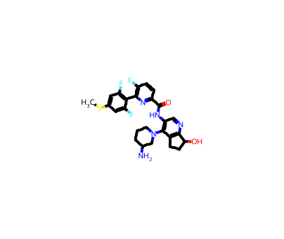 CSc1cc(F)c(-c2nc(C(=O)Nc3cnc4c(c3N3CCCC(N)C3)CCC4O)ccc2F)c(F)c1